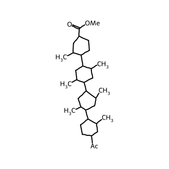 COC(=O)C1CCC(C2CC(C)C(C3CC(C)C(C4CCC(C(C)=O)CC4C)CC3C)CC2C)C(C)C1